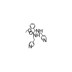 CCOc1ccccc1C(NCCc1ccncc1)C(=O)NCCc1ccncc1